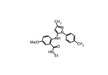 CCNC(=O)c1cc(OC)ccc1Nc1cc(C)nn1-c1ccc(C)cc1